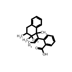 CC=C(c1ccccc1C(=O)O)C1(C)c2ccccc2CC(C)C1(C)C